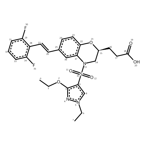 CCOc1nn(CC)cc1S(=O)(=O)N1C[C@H](CCC(=O)O)Oc2ccc(/C=C/c3c(F)cccc3F)cc21